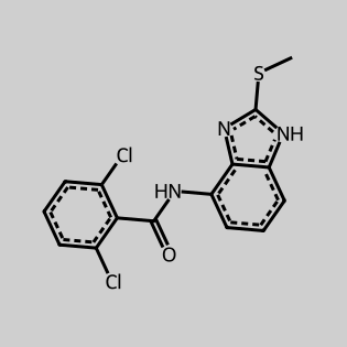 CSc1nc2c(NC(=O)c3c(Cl)cccc3Cl)cccc2[nH]1